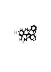 NN(c1ccccc1)c1c2c(n(N)c1C1=CCNC=C1Cl)COCC2=O